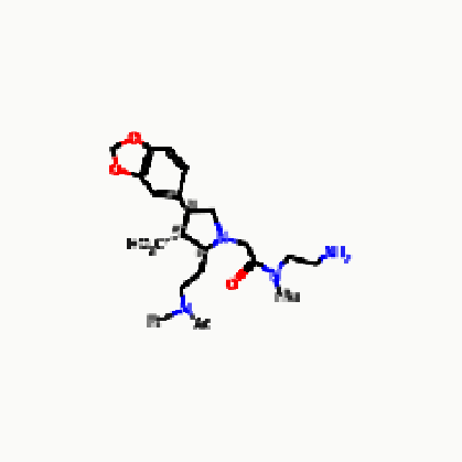 CCCCN(CCN)C(=O)CN1C[C@H](c2ccc3c(c2)OCO3)[C@@H](C(=O)O)[C@@H]1CCN(CC)C(C)=O